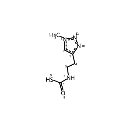 Cn1cc(CCNC(=O)S)nn1